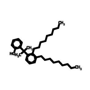 CCCCCCCCCc1cccc(C(C)(C)c2ccccc2O)c1CCCCCCCCC